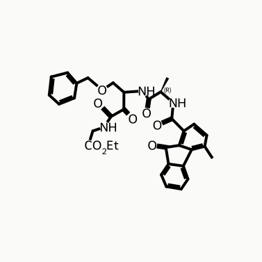 CCOC(=O)CNC(=O)C(=O)C(COCc1ccccc1)NC(=O)[C@@H](C)NC(=O)c1ccc(C)c2c1C(=O)c1ccccc1-2